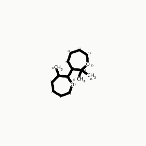 CC1[CH]CCCOC1C1CCCCOC1(C)C